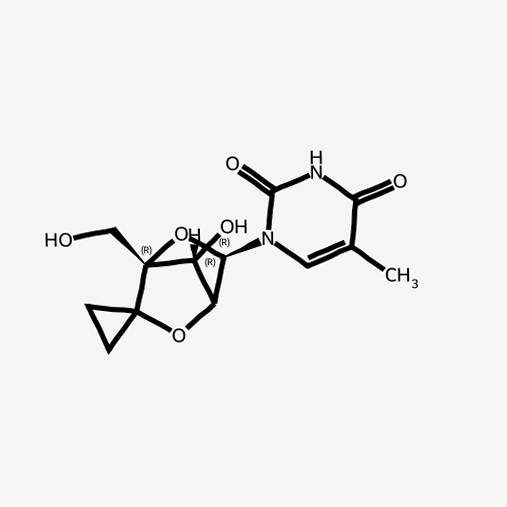 Cc1cn([C@@H]2O[C@]3(CO)[C@H](O)C2OC32CC2)c(=O)[nH]c1=O